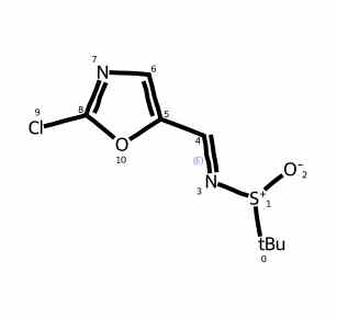 CC(C)(C)[S+]([O-])/N=C/c1cnc(Cl)o1